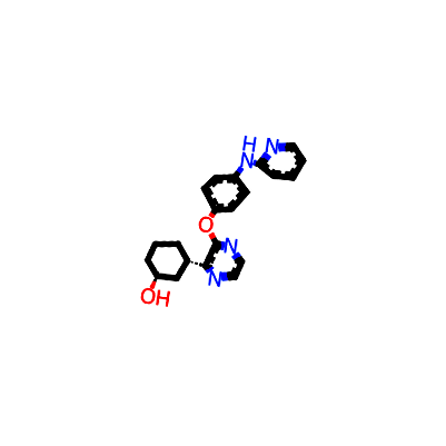 O[C@H]1CCC[C@H](c2nccnc2Oc2ccc(Nc3ccccn3)cc2)C1